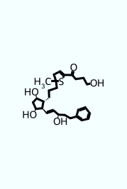 CC1(CCC[C@@H]2[C@@H](/C=C/[C@@H](O)CCc3ccccc3)[C@H](O)C[C@@H]2O)CC=C(C(=O)CCCO)S1